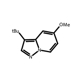 COc1ccn2ncc(C(C)(C)C)c2c1